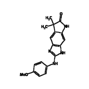 COc1ccc(Nc2nc3cc4c(cc3[nH]2)NC(=O)C4(C)C)cc1